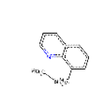 BC(=O)O.Cc1cccc2cccnc12